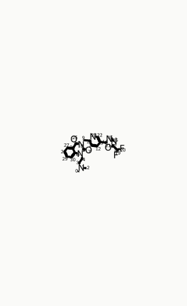 CN(C)CCn1c(=O)n(Cc2ccc(-c3nnc(C(F)F)o3)cn2)c(=O)c2ccccc21